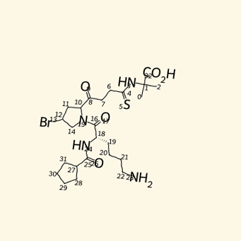 CC(C)(NC(=S)CCC(=O)C1CC(Br)CN1C(=O)[C@H](CCCCN)NC(=O)C1CCCC1)C(=O)O